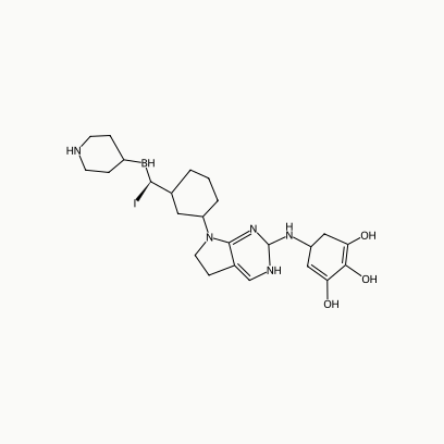 OC1=CC(NC2N=C3C(=CN2)CCN3C2CCCC([C@@H](I)BC3CCNCC3)C2)CC(O)=C1O